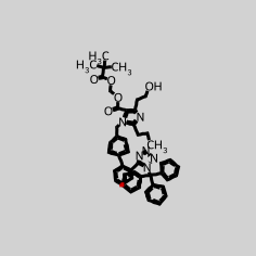 CCCc1nc(CCO)c(C(=O)OCOC(=O)C(C)(C)C)n1Cc1ccc(-c2ccccc2-c2nnnn2C(c2ccccc2)(c2ccccc2)c2ccccc2)cc1